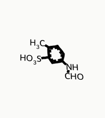 Cc1ccc(NC=O)cc1S(=O)(=O)O